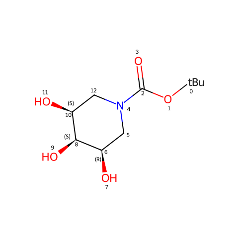 CC(C)(C)OC(=O)N1C[C@@H](O)[C@@H](O)[C@@H](O)C1